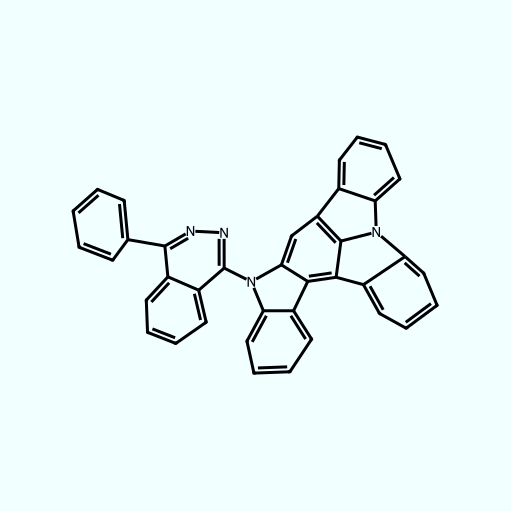 c1ccc(-c2nnc(-n3c4ccccc4c4c5c6ccccc6n6c7ccccc7c(cc43)c56)c3ccccc23)cc1